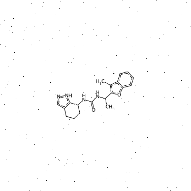 Cc1c(C(C)NC(=O)NC2CCCc3cn[nH]c32)oc2ccccc12